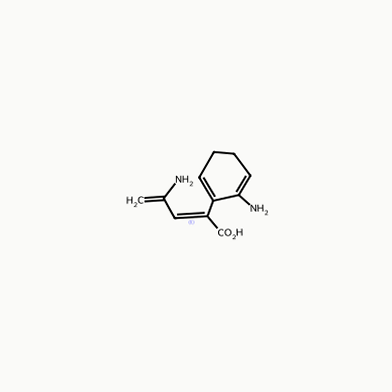 C=C(N)/C=C(/C(=O)O)C1=CCCC=C1N